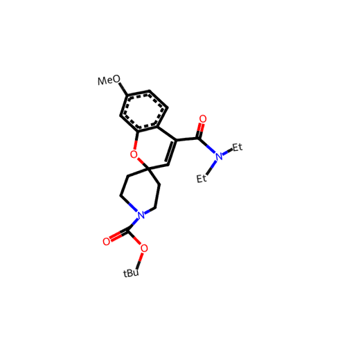 CCN(CC)C(=O)C1=CC2(CCN(C(=O)OC(C)(C)C)CC2)Oc2cc(OC)ccc21